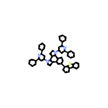 c1ccc(-c2cc(-n3ccc4c5cc(-c6cccc7c6sc6ccccc67)ccc5c5c(ccn5-c5cc(-c6ccccc6)nc(-c6ccccc6)c5)c43)cc(-c3ccccc3)n2)cc1